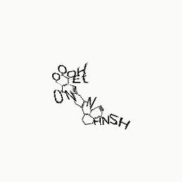 CC[C@@]1(O)C(=O)OCc2c1cc1n(c2=O)Cc2c-1nc1ccc(NS)c3c1c2CCC3